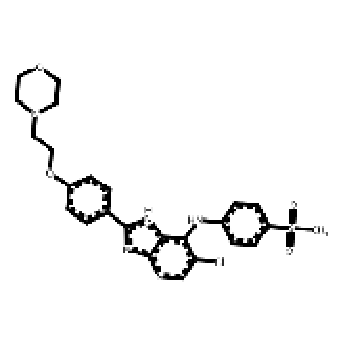 CS(=O)(=O)c1ccc(Nc2c(Cl)cnc3nc(-c4ccc(OCCN5CCOCC5)cc4)[nH]c23)cc1